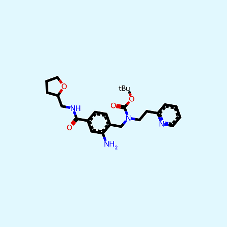 CC(C)(C)OC(=O)N(CCc1ccccn1)Cc1ccc(C(=O)NCC2CCCO2)cc1N